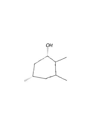 CC1C[C@H](C)C[C@H](O)C1C